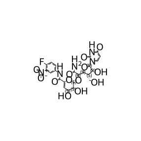 NC(=O)[C@H](O[C@H]1OC(C(=O)Nc2ccc(F)c([N+](=O)[O-])c2)=C[C@H](O)[C@@H]1O)[C@H]1O[C@@H](n2ccc(=O)[nH]c2=O)[C@H](O)[C@@H]1CO